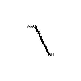 COCCC=CCC=CCC=CCC=CCC=CCCCCCCO